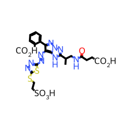 CC(CNC(=O)CCC(=O)O)c1nn2nc(-c3ccccc3C(=O)O)c(/N=N/c3nnc(SCCS(=O)(=O)O)s3)c2[nH]1